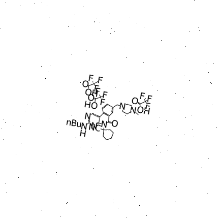 CCCCNc1ncc2c3ccc(CN4CCN(C)CC4)cc3c(=O)n(C3(C#N)CCCCC3)c2n1.O=C(O)C(F)(F)F.O=C(O)C(F)(F)F.O=C(O)C(F)(F)F